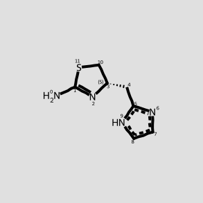 NC1=N[C@@H](Cc2ncc[nH]2)CS1